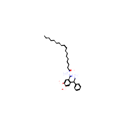 CCCCCCCC/C=C\CCCCCCCC(=O)NC1NCC(c2ccccc2)c2cc(OC)c(OC)cc21